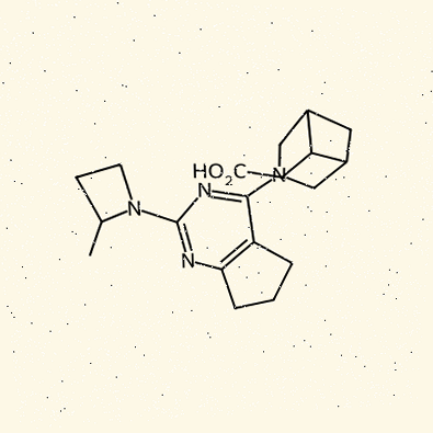 CC1CCN1c1nc2c(c(N3CC4CC(C3)C4CC(=O)O)n1)CCC2